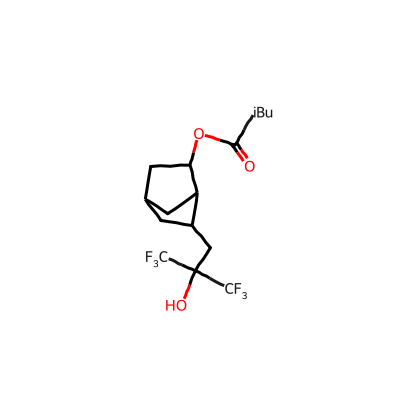 CCC(C)C(=O)OC1CC2CC(CC(O)(C(F)(F)F)C(F)(F)F)C1C2